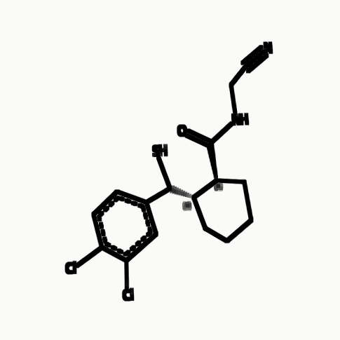 N#CCNC(=O)[C@H]1CCCC[C@@H]1C(S)c1ccc(Cl)c(Cl)c1